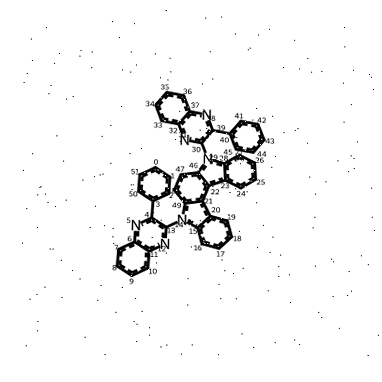 c1ccc(-c2nc3ccccc3nc2-n2c3ccccc3c3c4c5ccccc5n(-c5nc6ccccc6nc5-c5ccccc5)c4ccc32)cc1